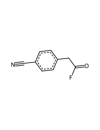 N#Cc1ccc(CC(=O)F)cc1